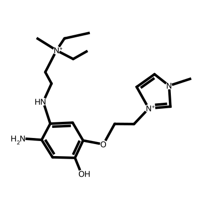 CC[N+](C)(CC)CCNc1cc(OCC[n+]2ccn(C)c2)c(O)cc1N